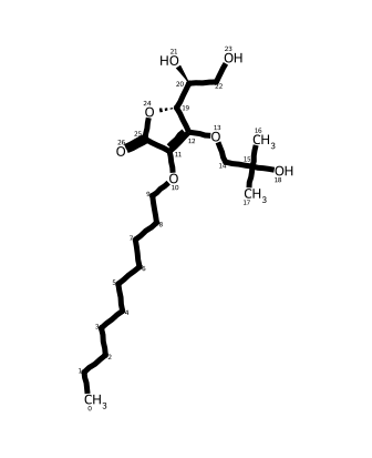 CCCCCCCCCCOC1=C(OCC(C)(C)O)[C@@H]([C@@H](O)CO)OC1=O